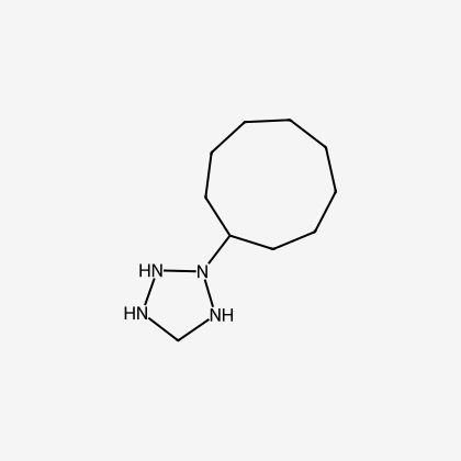 C1CCCCC(N2NCNN2)CCC1